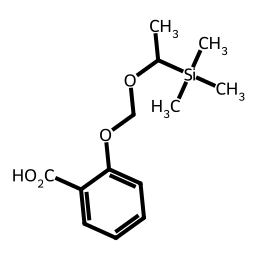 CC(OCOc1ccccc1C(=O)O)[Si](C)(C)C